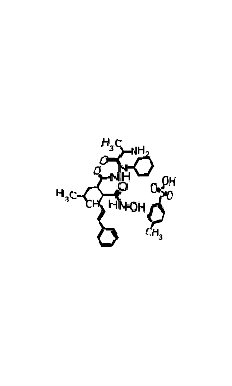 CC(C)C[C@@H](C(=O)NN(C(=O)[C@@H](C)N)C1CCCCC1)[C@H](CC=Cc1ccccc1)C(=O)NO.Cc1ccc(S(=O)(=O)O)cc1